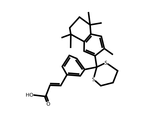 Cc1cc2c(cc1C1(c3cccc(C=CC(=O)O)c3)SCCCS1)C(C)(C)CCC2(C)C